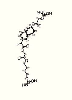 CC(C(=O)OCC(=O)OCCCCON(O)O)c1ccc2cc(OC(=O)CON(O)O)ccc2c1